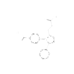 CC(=O)c1ccc(-n2c(CCC(=O)O)ccc2-c2ccccc2)cc1